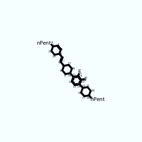 CCCCCC1C=CC(/C=C/C2CCC(c3ccc(C4CCC(CCCCC)CC4)c(F)c3F)CC2)CC1